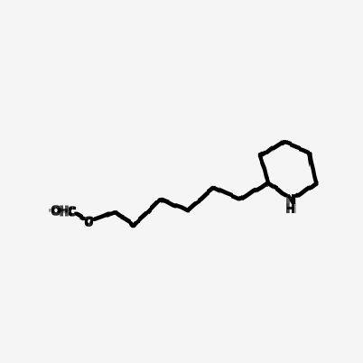 O=[C]OCCCCCCC1CCCCN1